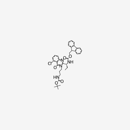 CC[C@H](NC(=O)OCC1c2ccccc2-c2ccccc21)c1nc2cccc(Cl)c2c(=O)n1CCCNC(=O)OC(C)(C)C